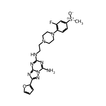 C[S@@+]([O-])c1ccc(N2CCN(CCNc3nc(N)n4nc(-c5ccco5)nc4n3)CC2)c(F)c1